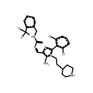 C=C(/N=C\c1nc(-c2c(Cl)cccc2Cl)n(CCC2CCNCC2)c1N)NCc1ccccc1C(F)(F)F